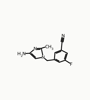 Cc1nc(N)cn1Cc1cc(F)cc(C#N)c1